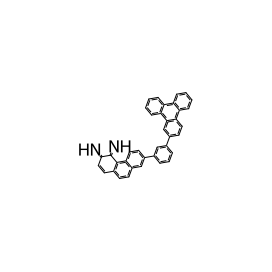 N=C1C=Cc2ccc3cc(-c4cccc(-c5ccc6c7ccccc7c7ccccc7c6c5)c4)ccc3c2C1=N